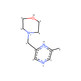 Cc1cncc(CN2CCOCC2)n1